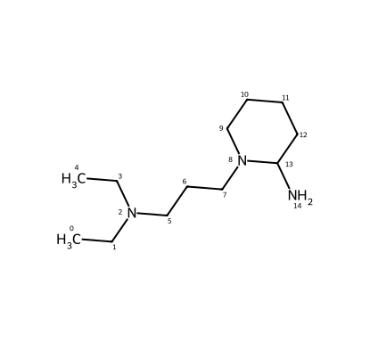 CCN(CC)CCCN1CCCCC1N